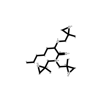 CCCCCC(OCC1(C)CO1)C(=O)N(CC1(C)CO1)CC1(C)CO1